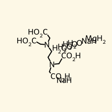 O.O.O.O.O=C(O)CN(CCN(CC(=O)O)CC(=O)O)CC(=O)O.[MgH2].[NaH].[NaH]